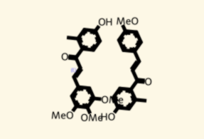 COc1cc(/C=C/C(=O)c2ccc(O)cc2C)cc(OC)c1OC.COc1ccc(C=CC(=O)c2ccc(O)cc2C)cc1